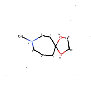 O=NN1CCCC2(CC1)OCCO2